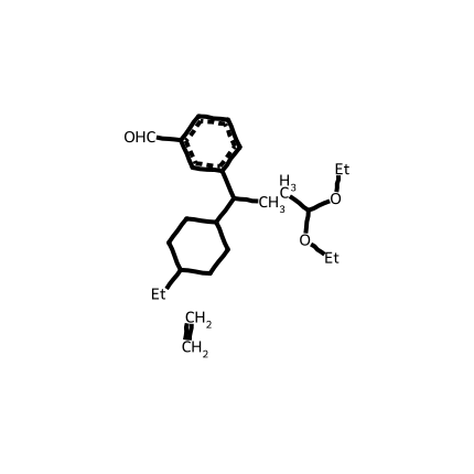 C=C.CCC1CCC(C(C)c2cccc(C=O)c2)CC1.CCOC(C)OCC